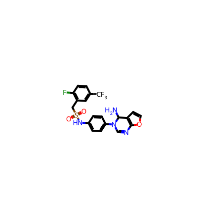 NC1c2ccoc2N=CN1c1ccc(NS(=O)(=O)Cc2cc(C(F)(F)F)ccc2F)cc1